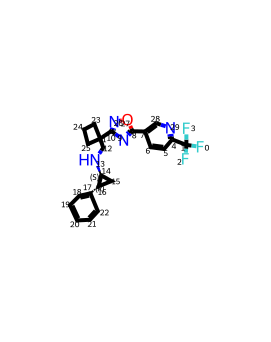 FC(F)(F)c1ccc(-c2nc(C3(CN[C@H]4C[C@@H]4c4ccccc4)CCC3)no2)cn1